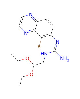 CCOC(CNC(N)=Nc1ccc2nccnc2c1Br)OCC